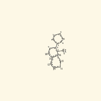 [CH2]Cc1c(-c2ccccc2)ccc2ccccc12